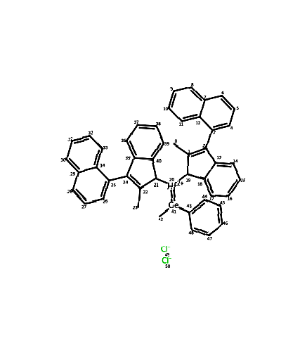 CC1=C(c2cccc3ccccc23)c2ccccc2[CH]1[Hf+2]([CH]1C(C)=C(c2cccc3ccccc23)c2ccccc21)=[Ge]([CH3])[c]1ccccc1.[Cl-].[Cl-]